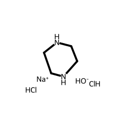 C1CNCCN1.Cl.Cl.[Na+].[OH-]